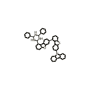 c1ccc(C2NC(c3ccccc3)NC(c3cccc4oc5cc(-c6cccc7sc8cc(-n9c%10ccccc%10c%10ccccc%109)ccc8c67)ccc5c34)N2)cc1